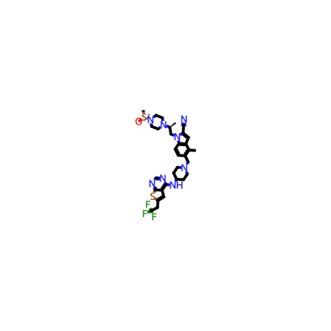 Cc1c(CN2CCC(Nc3ncnc4sc(CC(F)(F)F)cc34)CC2)ccc2c1cc(C#N)n2C[C@H](C)N1CCN([S+](C)[O-])CC1